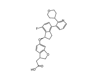 O=C(O)CC1COc2cc(O[C@@H]3CCc4c(-c5cccnc5C5CCOCC5)ccc(F)c43)ccc21